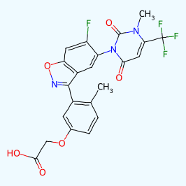 Cc1ccc(OCC(=O)O)cc1-c1noc2cc(F)c(-n3c(=O)cc(C(F)(F)F)n(C)c3=O)cc12